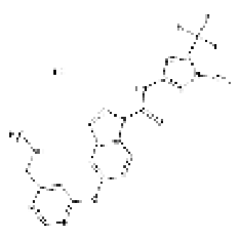 CNCc1cc(Oc2ccc3c(ccn3C(=O)Nc3cc(C(F)(F)F)n(C)n3)c2)ncn1.Cl